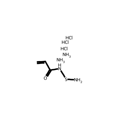 C=CC(=O)NSN.Cl.Cl.Cl.N.N